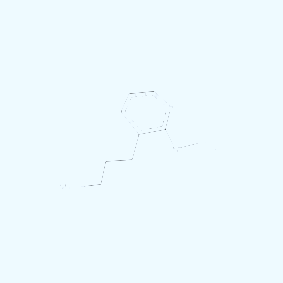 COCCCc1cccnc1NC(=O)O